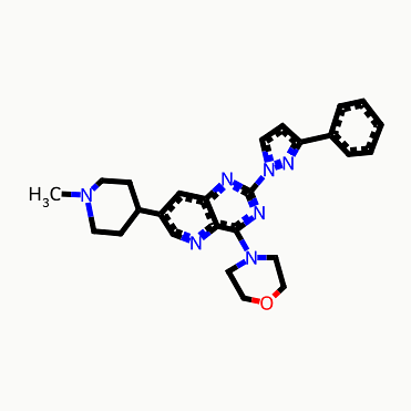 CN1CCC(c2cnc3c(N4CCOCC4)nc(-n4ccc(-c5ccccc5)n4)nc3c2)CC1